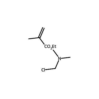 C=C(C)C(=O)OCC.CN(C)CCl